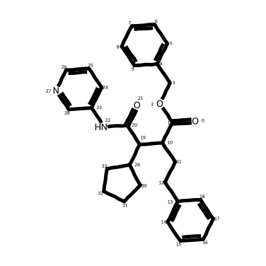 O=C(OCc1ccccc1)C(CCc1ccccc1)C(C(=O)Nc1cccnc1)C1CCCC1